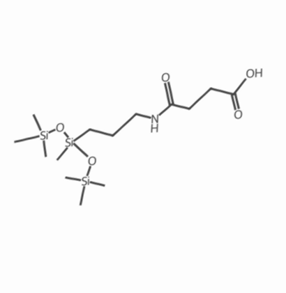 C[Si](C)(C)O[Si](C)(CCCNC(=O)CCC(=O)O)O[Si](C)(C)C